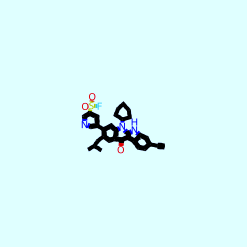 C#Cc1ccc2c(c1)[nH]c1c2c(=O)c2cc(CC(C)C)c(-c3cncc(S(=O)(=O)F)c3)cc2n1C1CCCCC1